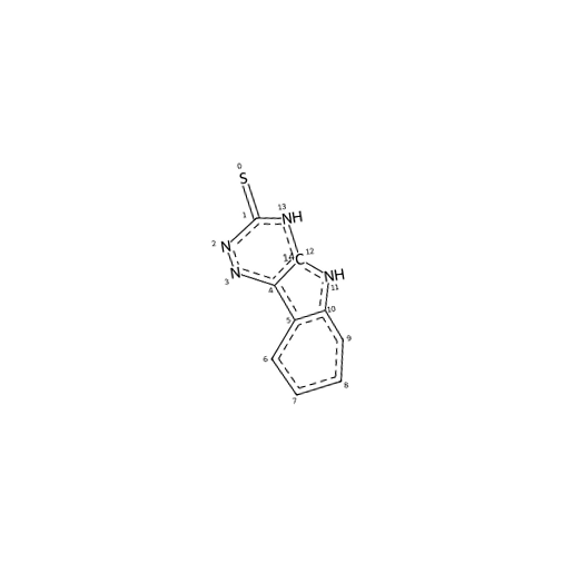 S=c1nnc2c3ccccc3[nH][14c]2[nH]1